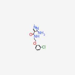 Cn1cc(C(=O)NCCOc2cccc(Cl)c2)c(N)n1